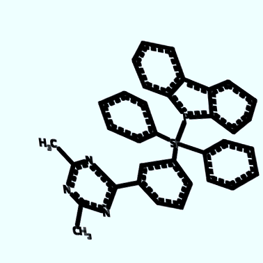 Cc1nc(C)nc(-c2cccc([Si](c3ccccc3)(c3ccccc3)p3c4ccccc4c4ccccc43)c2)n1